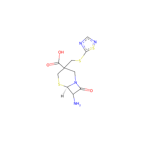 NC1C(=O)N2CC(CSc3ncns3)(C(=O)O)CS[C@H]12